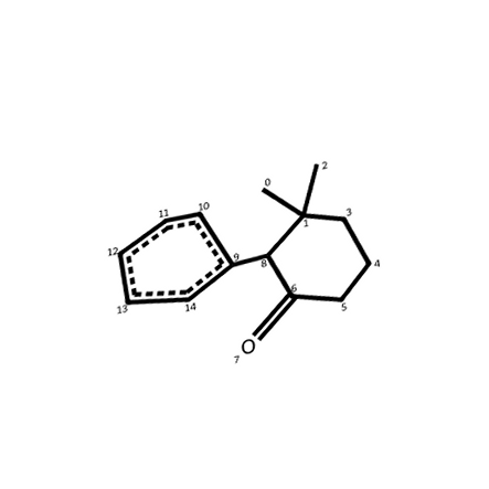 CC1(C)CCCC(=O)C1c1ccccc1